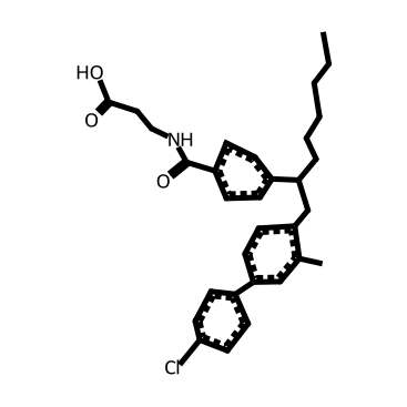 CCCCCCC(Cc1ccc(-c2ccc(Cl)cc2)cc1C)c1ccc(C(=O)NCCC(=O)O)cc1